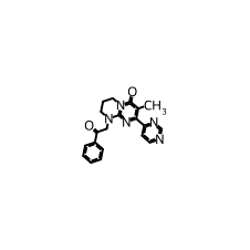 Cc1c(-c2ccncn2)nc2n(c1=O)CCCN2CC(=O)c1ccccc1